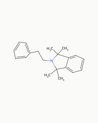 CC1(C)c2ccccc2C(C)(C)N1CCc1ccccc1